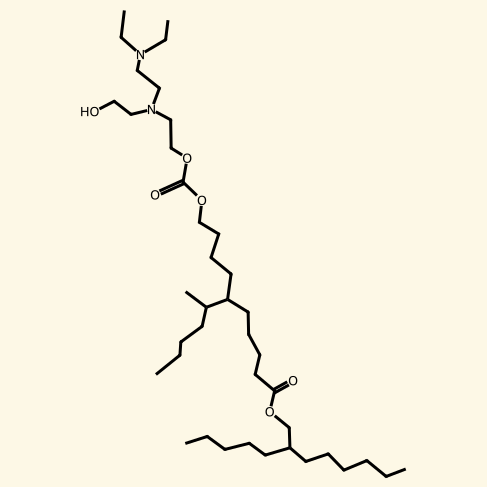 CCCCCCC(CCCCC)COC(=O)CCCCC(CCCCOC(=O)OCCN(CCO)CCN(CC)CC)C(C)CCCC